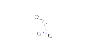 c1ccc(-c2nc(-c3ccccc3)nc(-c3cccc(-c4ccc(-c5cccnc5)nc4)c3)n2)cc1